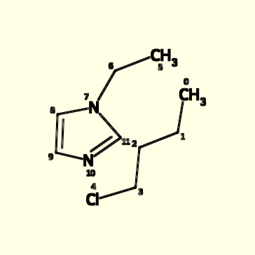 CCCCCl.CCn1ccnc1